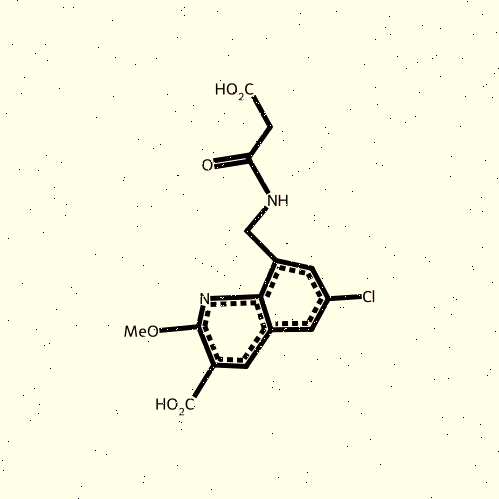 COc1nc2c(CNC(=O)CC(=O)O)cc(Cl)cc2cc1C(=O)O